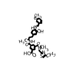 COc1cccc(CNc2ccc(CC[C@H](C)NC(=O)c3cc(C(=O)O)cc(C(=O)N(C)Cc4nc(C)cs4)c3)cc2O)c1